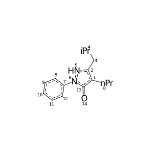 CCCc1c(CC(C)C)[nH]n(-c2ccccc2)c1=O